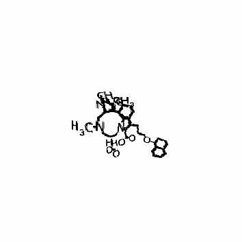 Cc1ccc2c(CCCOc3cccc4ccccc34)c(C(=O)O)n3c2c1-c1c(nn(C)c1C)CN(C)CCC3.O=CO